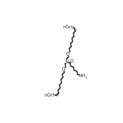 CCCCCCCC/C=C\CCCCCCCCOCCN(CCOCCCCCCCC/C=C\CCCCCCCC)C(=O)CCCCCN